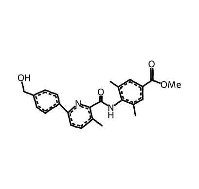 COC(=O)c1cc(C)c(NC(=O)c2nc(-c3ccc(CO)cc3)ccc2C)c(C)c1